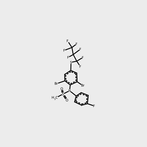 CS(=O)(=O)N(c1c[c]c(F)cc1)c1c(Br)cc(SC(F)(F)C(F)(F)C(F)(F)F)cc1Br